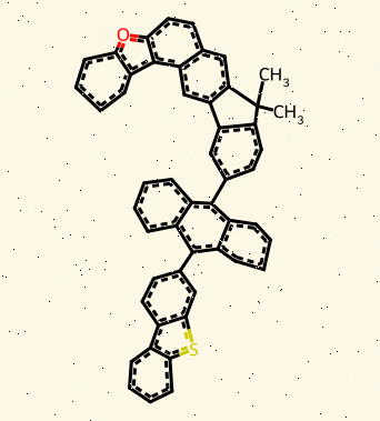 CC1(C)c2ccc(-c3c4ccccc4c(-c4ccc5c(c4)sc4ccccc45)c4ccccc34)cc2-c2cc3c(ccc4oc5ccccc5c43)cc21